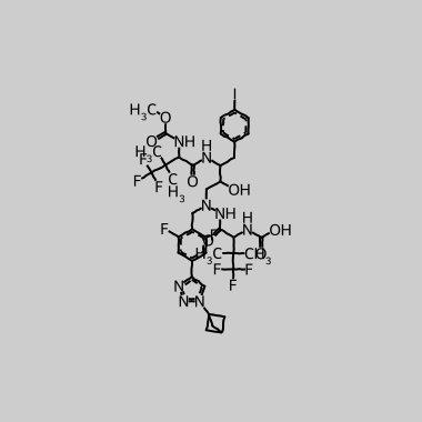 COC(=O)NC(C(=O)NC(Cc1ccc(I)cc1)C(O)CN(Cc1c(F)cc(-c2cn(C34CC(C3)C4)nn2)cc1F)NC(=O)C(NC(=O)O)C(C)(C)C(F)(F)F)C(C)(C)C(F)(F)F